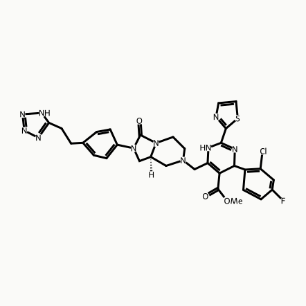 COC(=O)C1=C(CN2CCN3C(=O)N(c4ccc(CCc5nnn[nH]5)cc4)C[C@@H]3C2)NC(c2nccs2)=NC1c1ccc(F)cc1Cl